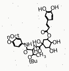 CCCCCCCCOc1ccc(NC(=O)C(NC(=O)C2(O)CC(O)C(O)C(OC(=O)/C=C/c3ccc(O)c(O)c3)C2)C(C)OC(C)(C)C)cc1